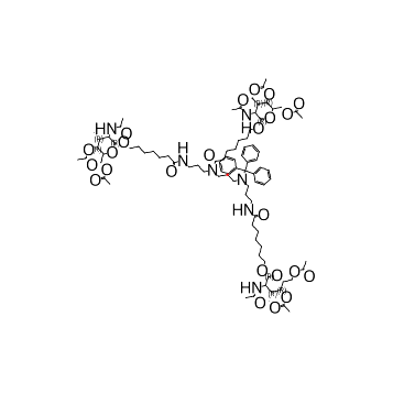 CC(=O)NC1[C@H](OCCCCCCC(=O)NCCCN(CCCN(CCCNC(=O)CCCCCCO[C@@H]2OC(COC(C)=O)[C@H](OC(C)=O)[C@H](C)C2NC(C)=O)C(c2ccccc2)(c2ccccc2)c2ccccc2)C(=O)CCCCCCO[C@@H]2OC(COC(C)=O)[C@H](OC(C)=O)[C@H](C)C2NC(C)=O)OC(COC(C)=O)[C@H](OC(C)=O)[C@@H]1C